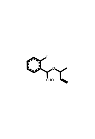 C=CC(C)OC(C=O)c1ccccc1F